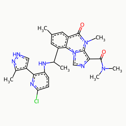 Cc1cc(C(C)Nc2ccc(Cl)nc2-c2c[nH]nc2C)c2c(c1)c(=O)n(C)c1c(C(=O)N(C)C)ncn21